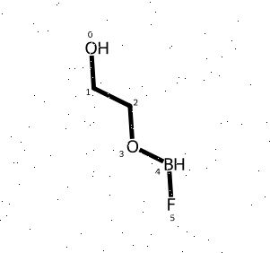 OCCOBF